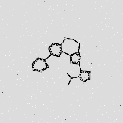 CC(C)n1ncnc1-c1nc2c(s1)CCOc1ccc(-c3cccnc3)cc1-2